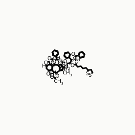 CC(=O)O[C@H]1C(=O)[C@@]2(C)[C@H]([C@H](OC(=O)c3ccccc3)[C@]3(O)C[C@H](OC(=O)[C@H](OC(=O)CCCCC4CCSS4)[C@@H](NC(=O)c4ccccc4)c4ccccc4)C(C)=C1C3(C)C)[C@]1(OC(C)=O)CO[C@@H]1C[C@@H]2O